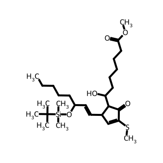 CCCCCC(C=CC1C=C(SC)C(=O)C1C(O)CCCCCC(=O)OC)O[Si](C)(C)C(C)(C)C